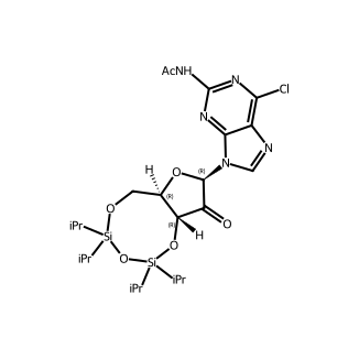 CC(=O)Nc1nc(Cl)c2ncn([C@@H]3O[C@@H]4CO[Si](C(C)C)(C(C)C)O[Si](C(C)C)(C(C)C)O[C@H]4C3=O)c2n1